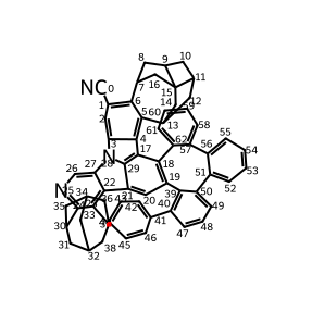 N#Cc1cc2c(c3c1C1CC4CC5CC3CC45C1)c1c3c(cc4c5c6c(ncc5n2c41)C1CC2CC(C1)CC6C2)-c1c(-c2ccccc2)cccc1-c1ccccc1-c1ccccc1-3